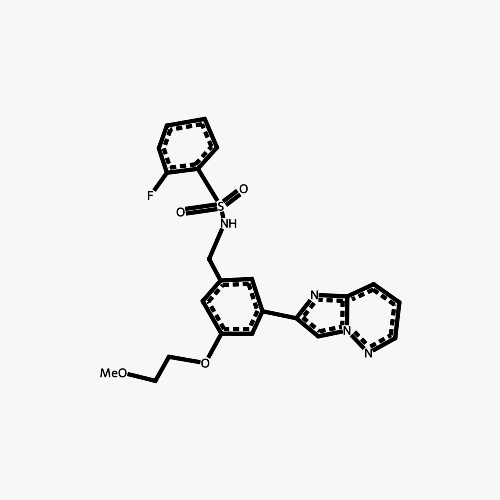 COCCOc1cc(CNS(=O)(=O)c2ccccc2F)cc(-c2cn3ncccc3n2)c1